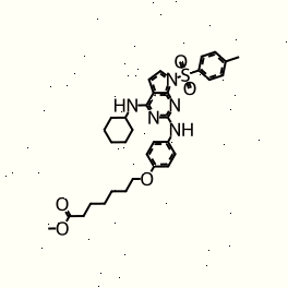 COC(=O)CCCCCCOc1ccc(Nc2nc(NC3CCCCC3)c3ccn(S(=O)(=O)c4ccc(C)cc4)c3n2)cc1